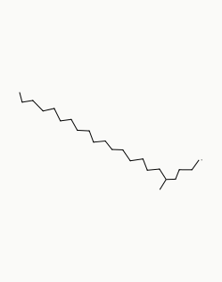 [CH2]CCCC(C)CCCCCCCCCCCCCCCCC